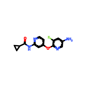 Nc1cnc(Oc2ccnc(NC(=O)C3CC3)c2)c(F)c1